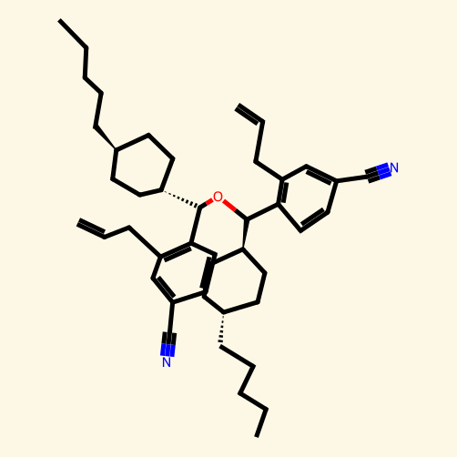 C=CCc1cc(C#N)ccc1C(OC(c1ccc(C#N)cc1CC=C)[C@H]1CC[C@H](CCCCC)CC1)[C@H]1CC[C@H](CCCCC)CC1